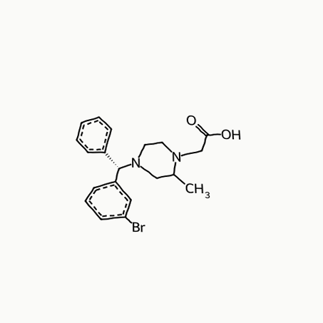 CC1CN([C@@H](c2ccccc2)c2cccc(Br)c2)CCN1CC(=O)O